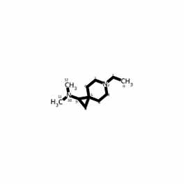 CCN1CCC2(CC1)CC2N(C)C